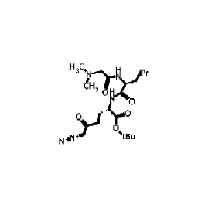 CC(C)C[C@H](NC(=O)CN(C)C)C(=O)N[C@@H](CCC(=O)C=[N+]=[N-])C(=O)OC(C)(C)C